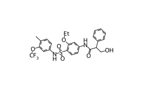 CCOc1cc(NC(=O)C(CO)c2ccccc2)ccc1S(=O)(=O)Nc1ccc(C)c(OC(F)(F)F)c1